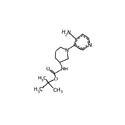 CC(C)(C)OC(=O)NC1CCCN(c2cnccc2N)C1